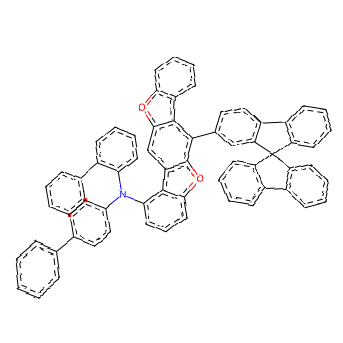 c1ccc(-c2ccc(N(c3ccccc3-c3ccccc3)c3cccc4oc5c(-c6ccc7c(c6)C6(c8ccccc8-c8ccccc86)c6ccccc6-7)c6c(cc5c34)oc3ccccc36)cc2)cc1